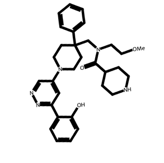 COCCN(CC1(c2ccccc2)CCN(c2cnnc(-c3ccccc3O)c2)CC1)C(=O)C1CCNCC1